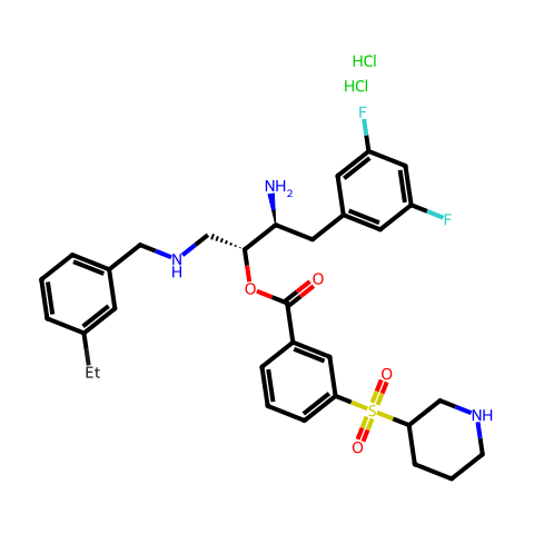 CCc1cccc(CNC[C@@H](OC(=O)c2cccc(S(=O)(=O)C3CCCNC3)c2)[C@@H](N)Cc2cc(F)cc(F)c2)c1.Cl.Cl